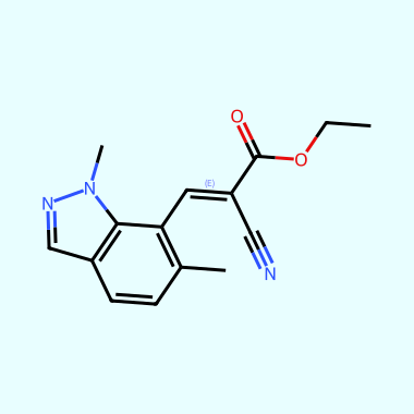 CCOC(=O)/C(C#N)=C/c1c(C)ccc2cnn(C)c12